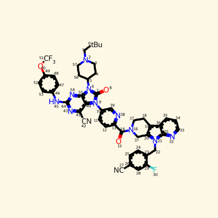 CC(C)(C)CN1CCC(n2c(=O)n(-c3ccc(C(=O)N4CCc5c(n(Cc6ccc(C#N)cc6F)c6ncccc56)C4)nc3)c3c(C#N)nc(Nc4ccc(OC(F)(F)F)cc4)nc32)CC1